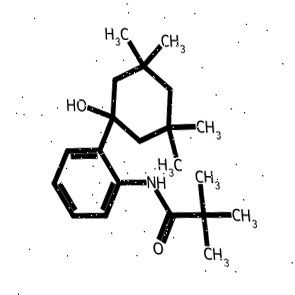 CC1(C)CC(C)(C)CC(O)(c2ccccc2NC(=O)C(C)(C)C)C1